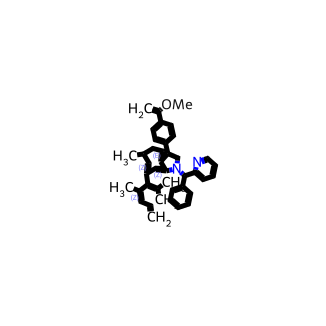 C=C/C=C(/C)C(=C(C)C)C1=C/C(C)C/C=C2/C(=C/1)N(C(c1ccccc1)c1ccccn1)CC2c1ccc(C(=C)OC)cc1